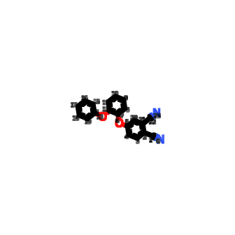 N#Cc1ccc(Oc2ccccc2Oc2ccccc2)cc1C#N